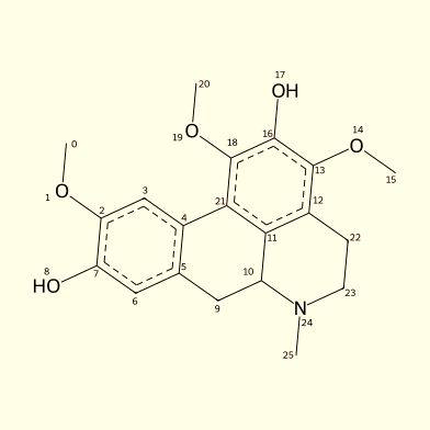 COc1cc2c(cc1O)CC1c3c(c(OC)c(O)c(OC)c3-2)CCN1C